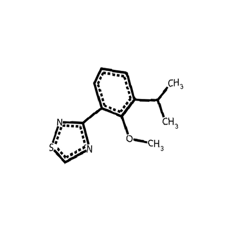 COc1c(-c2ncsn2)cccc1C(C)C